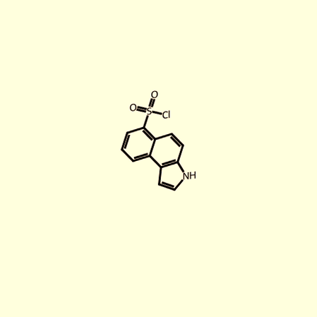 O=S(=O)(Cl)c1cccc2c1ccc1[nH]ccc12